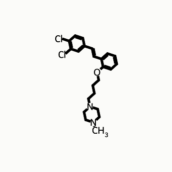 CN1CCN(CCCCOc2ccccc2C=Cc2ccc(Cl)c(Cl)c2)CC1